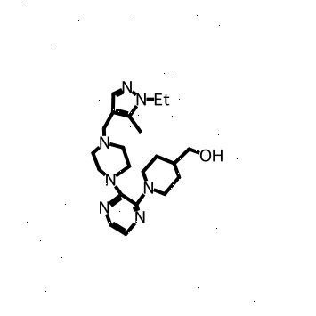 CCn1ncc(CN2CCN(c3nccnc3N3CCC(CO)CC3)CC2)c1C